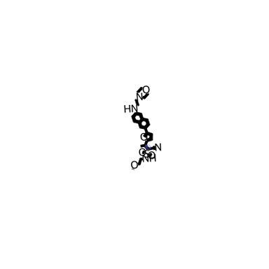 COCCNS(=O)(=O)/C(C#N)=C(\C)c1ccc(-c2ccc3cc(NCCN4CCOCC4)ccc3c2)o1